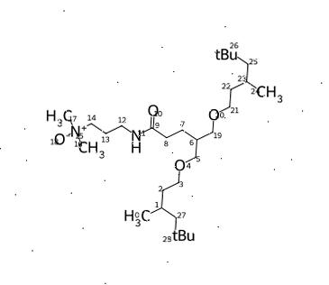 CC(CCOCC(CCC(=O)NCCC[N+](C)(C)[O-])COCCC(C)CC(C)(C)C)CC(C)(C)C